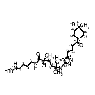 CC(C)(C)NCCCCNC(=O)C(C)(C)CCC(C)(C)Nc1nnc(CCCC(=O)N2CCC(C)(C(C)(C)C)CC2)o1